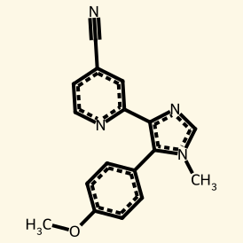 COc1ccc(-c2c(-c3cc(C#N)ccn3)ncn2C)cc1